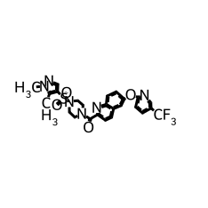 Cc1c(S(=O)(=O)N2CCN(C(=O)c3ccc4cc(Oc5ccc(C(F)(F)F)cn5)ccc4n3)CC2)cnn1C